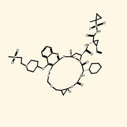 C=C[C@@H]1C[C@]1(NC(=O)[C@@H]1C[C@@H]2CN1C(=O)[C@H](C1CCCCC1)NC(=O)O[C@@H]1CC1CCCCCc1c(nc3ccccc3c1OC1CCN(CCS(C)(=O)=O)CC1)O2)C(=O)NS(=O)(=O)C1(C)CC1